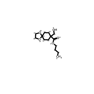 CCCCOC(=O)C1(CO)CCC2(CC1)OCCO2